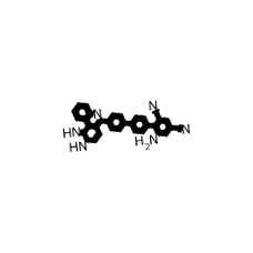 N#Cc1cc(N)c(-c2ccc(-c3ccc(-c4nc5ccccc5c5c4C=CC(=N)C5=N)cc3)cc2)c(C#N)c1